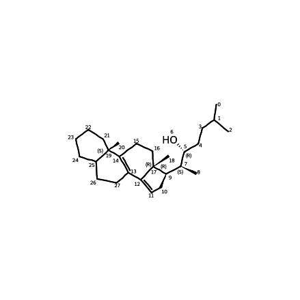 CC(C)CC[C@@H](O)[C@@H](C)[C@H]1CC=C2C3=C(CC[C@@]21C)[C@@]1(C)CCCCC1CC3